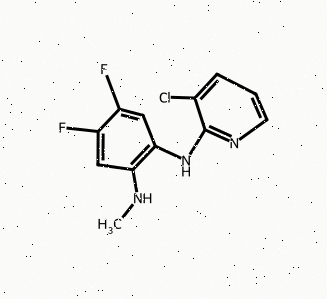 CNc1cc(F)c(F)cc1Nc1ncccc1Cl